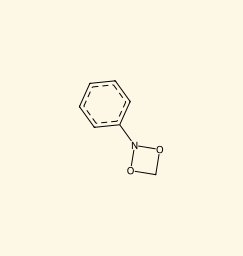 c1ccc(N2OCO2)cc1